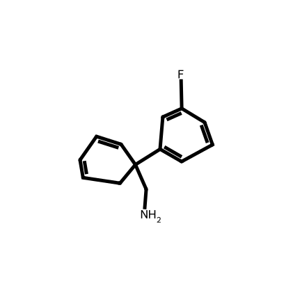 NCC1(c2cccc(F)c2)C=CC=CC1